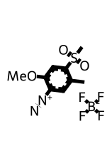 COc1cc(S(C)(=O)=O)c(C)cc1[N+]#N.F[B-](F)(F)F